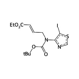 CCOC(=O)/C=C/CN(C(=O)OC(C)(C)C)c1ncsc1I